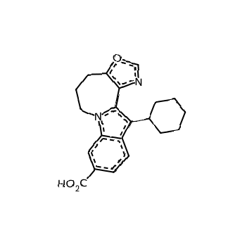 O=C(O)c1ccc2c(C3CCCCC3)c3n(c2c1)CCCc1ocnc1-3